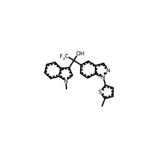 Cc1ccc(-n2ncc3cc(C(O)(c4cn(C)c5ccccc45)C(F)(F)F)ccc32)s1